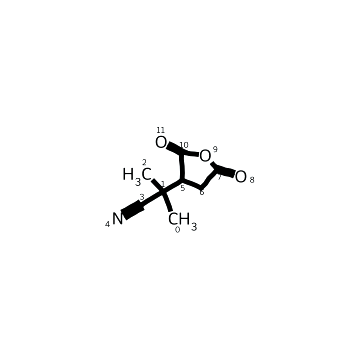 CC(C)(C#N)C1CC(=O)OC1=O